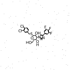 OC[C@H]1O[C@H](SCc2ccc(Cl)c(Cl)c2)[C@H](O)[C@@H](n2cc(-c3cc(F)c(F)c(F)c3)nn2)[C@H]1O